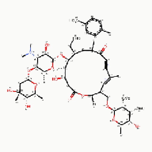 CC[C@H]1OC(=O)C[C@@H](O)[C@H](C)[C@@H](O[C@@H]2O[C@H](C)[C@@H](O[C@H]3C[C@@](C)(O)[C@@H](O)[C@H](C)O3)[C@H](N(C)C)[C@H]2O)[C@@H](CC=O)C[C@@H](C)C(=O)/C=C/C(C)=C/C1CO[C@@H]1O[C@H](C)[C@@H](O)[C@@H](OC)[C@H]1OC.Cc1ccc(S(=O)(=O)O)cc1